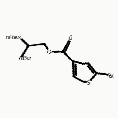 CCCCCCC(CCCC)COC(=O)c1csc(Br)c1